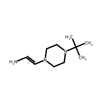 CC(C)(C)N1CCN(/C=C/N)CC1